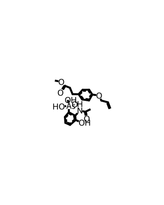 C=CCOc1ccc(CCC(=O)OC)cc1.CC(=O)Nc1c(O)cccc1[As](=O)(O)O